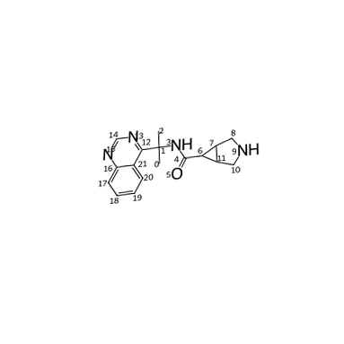 CC(C)(NC(=O)C1C2CNCC21)c1ncnc2ccccc12